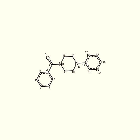 O=C(c1ccccc1)N1CCN(c2cnccn2)CC1